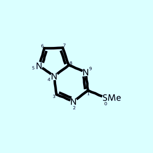 CSc1ncn2nccc2n1